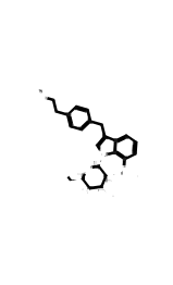 CCOCCc1ccc(Cc2cn([C@@H]3O[C@H](CO)[C@@H](O)[C@H](O)[C@H]3O)c3c(C)cccc23)cc1